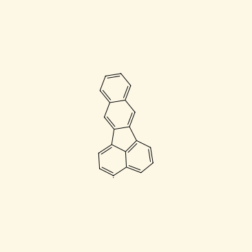 [c]1ccc2c3c(cccc13)-c1cc3ccccc3cc1-2